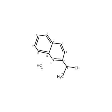 CC(Cl)c1ccc2ccccc2n1.Cl